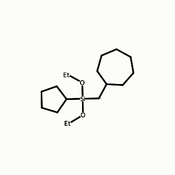 CCO[Si]([CH]C1CCCCCC1)(OCC)C1CCCC1